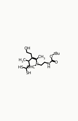 CC(=C(CCO)C(C)CC(S)S)N(C=O)CCNC(=O)OC(C)(C)C